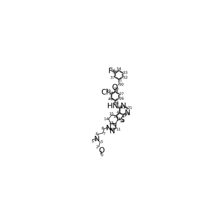 COCCN(C)CCCn1ncc2c1CCc1c-2sc2ncnc(Nc3ccc(OCc4cccc(F)c4)c(Cl)c3)c12